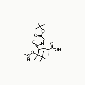 C[C@@H](C(=O)O)[C@@H]1[C@@H]([C@@](C)(O[SiH](C)C)C(C)(C)C)C(=O)N1CC(=O)OC(C)(C)C